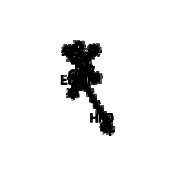 CC[C@@H](O)[C@@H](OCc1ccccc1)[C@H](CO[C@H]1OC(COCc2ccccc2)[C@H](OCc2ccccc2)C(OCc2ccccc2)CC1OCc1ccccc1)NC(=O)CCCCCCCCCCCNC(=O)c1cccc(F)c1